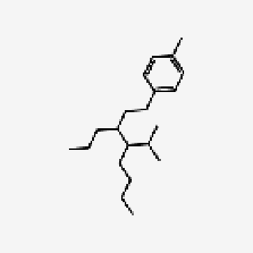 CCCCC([C](C)C)C(CCC)CCc1ccc(C)cc1